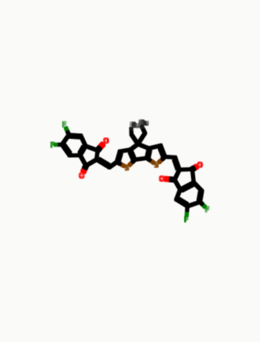 CCC(C)CC1(CC(C)CC)c2cc(C=C3C(=O)c4cc(F)c(F)cc4C3=O)sc2-c2sc(C=C3C(=O)c4cc(F)c(F)cc4C3=O)cc21